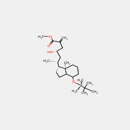 C=C(C[C@@H](O)C[C@@H](C)[C@H]1CCC2C(O[Si](C)(C)C(C)(C)C)CCC[C@@]21C)C(=O)OC